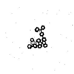 c1ccc(N(c2ccccc2)c2ccc(-c3ccc4c(c3)C3(c5ccccc5-4)c4ccccc4-c4c(N(c5ccccc5)c5cccc6c5sc5ccccc56)cccc43)cc2)cc1